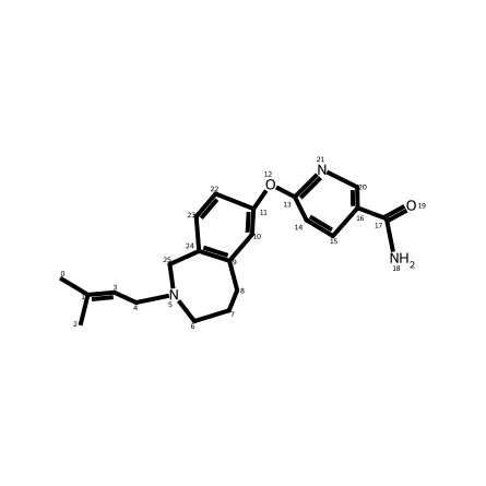 CC(C)=CCN1CCCc2cc(Oc3ccc(C(N)=O)cn3)ccc2C1